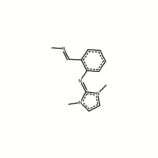 CN=Cc1ccccc1N=c1n(C)ccn1C